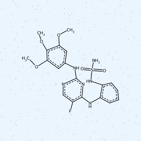 COc1cc(Nc2ncc(F)c(Nc3ccccc3NS(N)(=O)=O)n2)cc(OC)c1OC